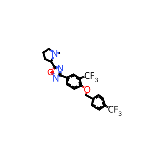 CN1CCCC1c1nc(-c2ccc(OCc3ccc(C(F)(F)F)cc3)c(C(F)(F)F)c2)no1